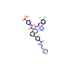 O=C(O)c1ccc(NC(=O)C2c3cccc(-c4ccc(C(=O)NCCN5CCOCC5)cc4)c3CCN2C(=O)C=Cc2c(-n3cnnn3)ccc(Cl)c2F)cc1